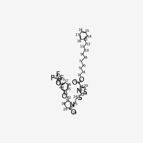 O=C(OCCCCCCCCCCc1ccccc1)c1csc(SCCN2C(=O)CC[C@@H]2COc2cccc(OC(F)(F)F)c2)n1